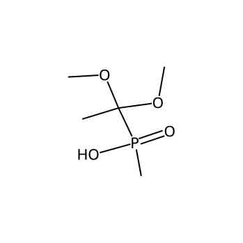 COC(C)(OC)P(C)(=O)O